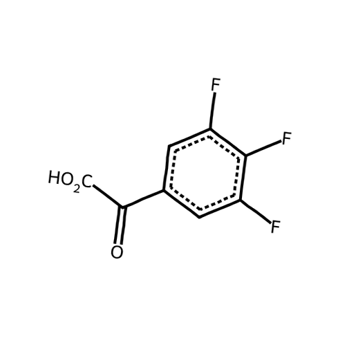 O=C(O)C(=O)c1cc(F)c(F)c(F)c1